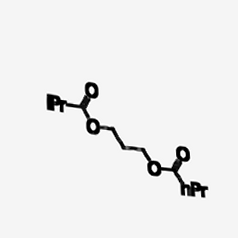 CCCC(=O)OCCCOC(=O)C(C)C